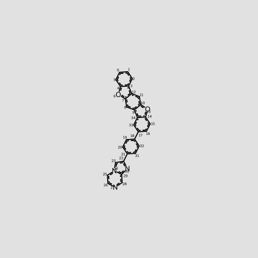 c1ccc2c(c1)oc1cc3c(cc12)oc1ccc(-c2ccc(-c4cn5ccncc5n4)cc2)cc13